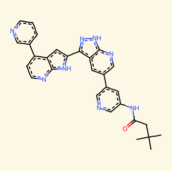 CC(C)(C)CC(=O)Nc1cncc(-c2cnc3[nH]nc(-c4cc5c(-c6cccnc6)ccnc5[nH]4)c3c2)c1